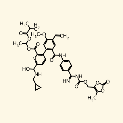 C=Cc1cc(C(=O)Nc2ccc(C(=N)NC(=O)OCc3oc(=O)oc3C)cc2)c(-c2ccc(C(O)NCC3CC3)nc2C(=O)OC(C)OC(=O)C(C)C)cc1OC